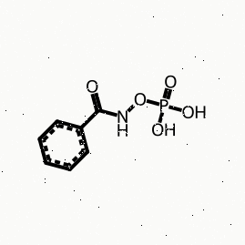 O=C(NOP(=O)(O)O)c1ccccc1